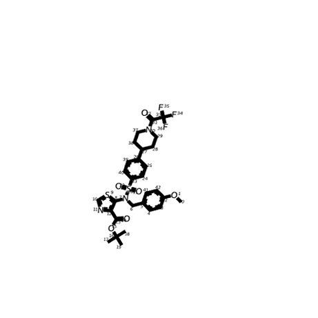 COc1ccc(CN(c2scnc2C(=O)OC(C)(C)C)S(=O)(=O)c2ccc(C3CCN(C(=O)C(F)(F)F)CC3)cc2)cc1